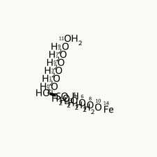 O.O.O.O.O.O.O.O.O.O.O.O.O=S(=O)(O)O.[Fe]